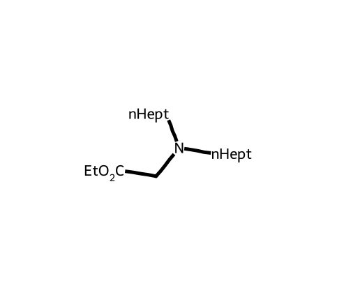 CCCCCCCN(CCCCCCC)CC(=O)OCC